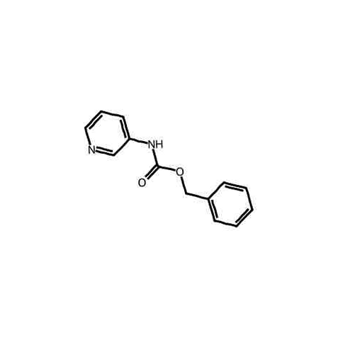 O=C(Nc1cccnc1)OCc1ccccc1